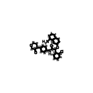 Nc1nccc2ccc(OC(C(=O)Nc3ccc(N4CCOCC4=O)cc3)c3ccccc3Cl)cc12